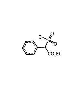 CCOC(=O)C(c1ccccc1)S(=O)(=O)Cl